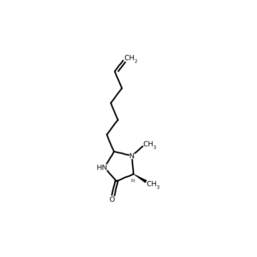 C=CCCCCC1NC(=O)[C@H](C)N1C